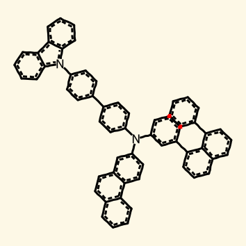 c1ccc(-c2cccc3cccc(-c4cccc(N(c5ccc(-c6ccc(-n7c8ccccc8c8ccccc87)cc6)cc5)c5ccc6c(ccc7ccccc76)c5)c4)c23)cc1